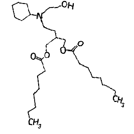 CCCCCCCC(=O)OCC(CCN(CCO)C1CCCCC1)COC(=O)CCCCCCC